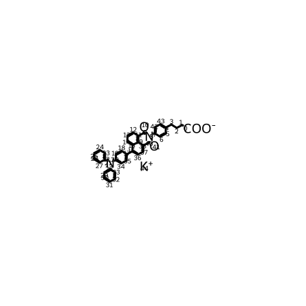 O=C([O-])CCCc1ccc(N2C(=O)c3cccc4c(-c5ccc(N(c6ccccc6)c6ccccc6)cc5)ccc(c34)C2=O)cc1.[K+]